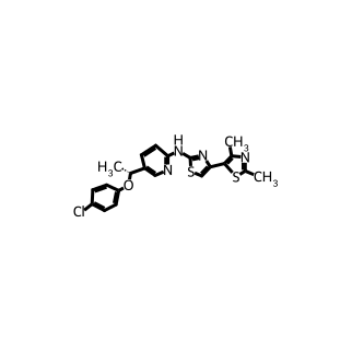 Cc1nc(C)c(-c2csc(Nc3ccc([C@@H](C)Oc4ccc(Cl)cc4)cn3)n2)s1